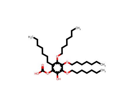 CCCCCCCOc1c(O)c(OC(=O)O)c(CCCCCCC)c(OCCCCCCC)c1OCCCCCCC